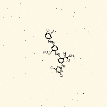 NC(=O)Nc1cc(Nc2nc(Cl)nc(Cl)n2)ccc1N=Nc1ccc(/N=N/c2ccc(S(=O)(=O)O)cc2)cc1S(=O)(=O)O